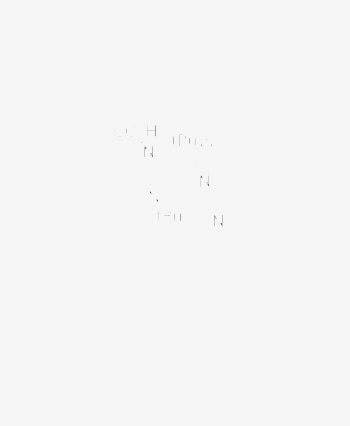 CC(C)(C)N1CCN(C(=O)O)C(C(=O)N2CCN(Cc3ccccc3)CC2)(C(C)(C)C)C1